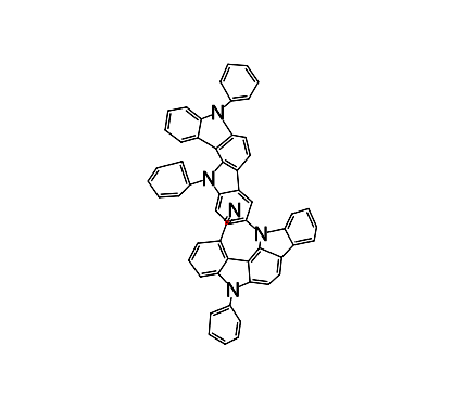 N#Cc1cccc2c1c1c(ccc3c4ccccc4n(-c4ccc5c(c4)c4ccc6c(c7ccccc7n6-c6ccccc6)c4n5-c4ccccc4)c31)n2-c1ccccc1